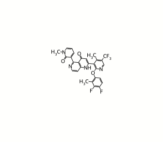 Cc1c(Oc2ncc(C(F)(F)F)c(C)c2-c2cc(=O)c3c(-c4cccn(C)c4=O)nccc3[nH]2)ccc(F)c1F